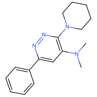 CN(C)c1cc(-c2ccccc2)nnc1N1CCCCC1